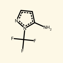 Nc1ccnn1C(F)(F)F